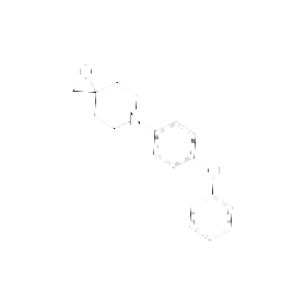 c1ccc(Oc2ccc(N3CCC4(CC3)CO4)cc2)cc1